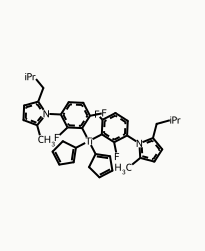 Cc1ccc(CC(C)C)n1-c1ccc(F)[c]([Ti]([C]2=CC=CC2)([C]2=CC=CC2)[c]2c(F)ccc(-n3c(C)ccc3CC(C)C)c2F)c1F